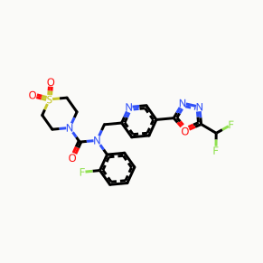 O=C(N1CCS(=O)(=O)CC1)N(Cc1ccc(-c2nnc(C(F)F)o2)cn1)c1ccccc1F